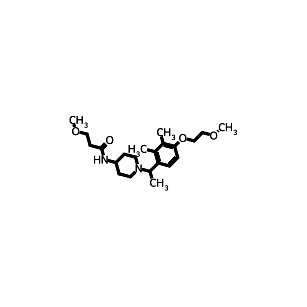 COCCOc1ccc(C(C)N2CCC(NC(=O)CCOC)CC2)c(C)c1C